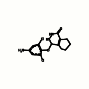 Nc1cc(Cl)c(OC2NNC(=O)C3=C2CCCC3)c(Cl)c1